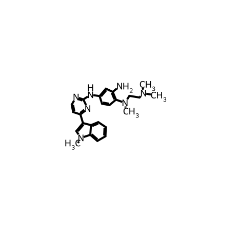 CN(C)CCN(C)c1ccc(Nc2nccc(-c3cn(C)c4ccccc34)n2)cc1N